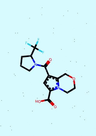 O=C(O)c1cc(C(=O)N2CCCC2C(F)(F)F)c2n1CCOC2